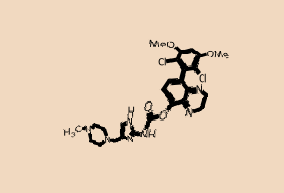 COc1cc(OC)c(Cl)c(-c2ccc(OC(=O)Nc3nc(CN4CCN(C)CC4)c[nH]3)c3nccnc23)c1Cl